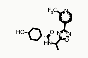 CC(NC(=O)[C@H]1CC[C@H](O)CC1)c1nc(-c2ccnc(C(F)(F)F)c2)no1